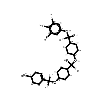 CCCC1CC=C(C(F)(F)OC2CCC(C(F)(F)OC3CCC(C(F)(F)Oc4cc(F)c(F)c(F)c4)CC3)CC2)CC1